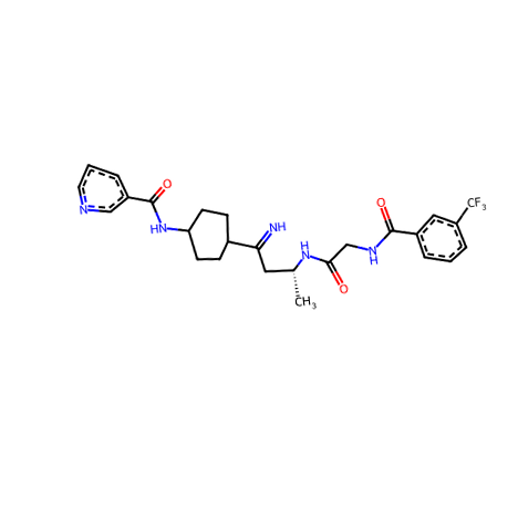 C[C@H](CC(=N)C1CCC(NC(=O)c2cccnc2)CC1)NC(=O)CNC(=O)c1cccc(C(F)(F)F)c1